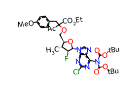 CCOC(=O)C(Cc1ccc(OC)cc1)(OC[C@H]1O[C@@H](n2cnc3c(N(C(=O)OC(C)(C)C)C(=O)OC(C)(C)C)nc(Cl)nc32)[C@@H](F)[C@@H]1C)C(C)=O